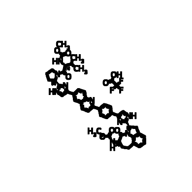 COC(=O)N[C@H]1CCc2cccc3c2N(C1=O)[C@H](c1nc(-c2ccc(-c4ccc5cc(-c6c[nH]c([C@@H]7CCCN7C(=O)[C@@H](NC(=O)OC)C(C)C)n6)ccc5n4)cc2)c[nH]1)C3.O=C(O)C(F)(F)F